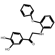 O=C(CNc1ccccc1Oc1ccccc1)c1ccc(O)c(O)c1